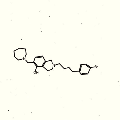 Oc1c(CN2CCCCCC2)ccc2c1CCN(CCCCc1ccc(Br)cc1)C2